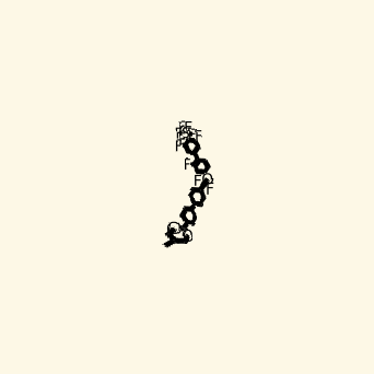 CC1COC(C2CCC(C3CCC(C(F)(F)Oc4ccc(-c5cc(F)c(S(F)(F)(F)(F)F)c(F)c5)c(F)c4)CC3)CC2)OC1